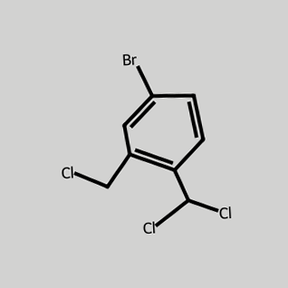 ClCc1cc(Br)ccc1C(Cl)Cl